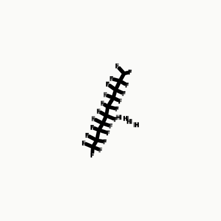 FC(F)C(F)(F)C(F)(F)C(F)(F)C(F)(F)C(F)(F)C(F)(F)C(F)(F)C(F)(F)C(F)(F)F.I.I.I.I